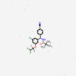 CC(C)(C)[S+]([O-])N[C@H](c1ccc(C#N)cc1)c1cc(F)cc(OC(F)(F)C(F)F)c1